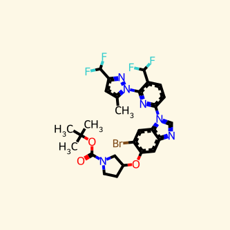 Cc1cc(C(F)F)nn1-c1nc(-n2cnc3cc(OC4CCN(C(=O)OC(C)(C)C)C4)c(Br)cc32)ccc1C(F)F